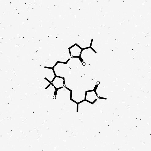 CC(C)C1CCN(CCC(C)C2CN(CCC(C)C3CC(=O)N(C)C3)C(=O)C2(C)C)C1=O